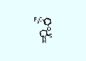 FC(F)(F)c1cccc(OC2CCCNC2=S)c1